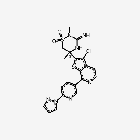 CN1C(=N)N[C@](C)(c2sc3c(-c4ccc(-n5cccn5)nc4)nccc3c2Cl)CS1(=O)=O